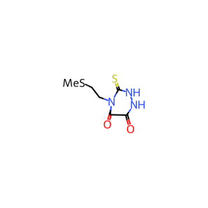 CSCCn1c(=S)[nH][nH]c(=O)c1=O